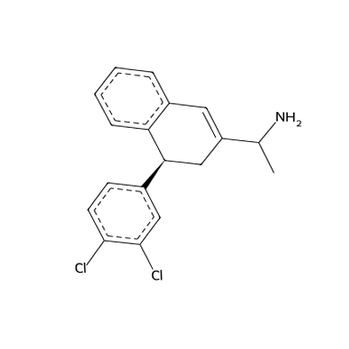 CC(N)C1=Cc2ccccc2[C@H](c2ccc(Cl)c(Cl)c2)C1